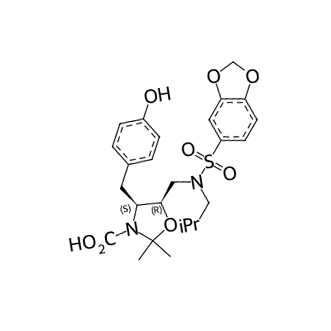 CC(C)CN(C[C@H]1OC(C)(C)N(C(=O)O)[C@H]1Cc1ccc(O)cc1)S(=O)(=O)c1ccc2c(c1)OCO2